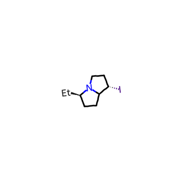 CC[C@@H]1CCC2[C@@H](I)CCN21